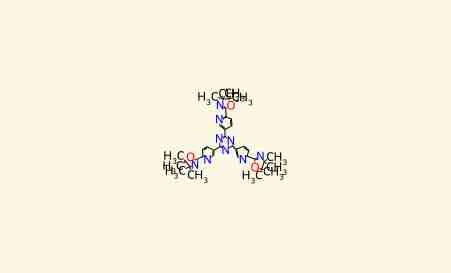 CC1(C)N=C(c2ccc(-c3nc(-c4ccc(C5=NC(C)(C)C(C)(C)O5)nc4)nc(-c4ccc(C5=NC(C)(C)C(C)(C)O5)nc4)n3)cn2)OC1(C)C